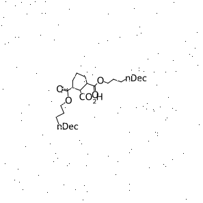 CCCCCCCCCCCCCOC(=O)C1CCCC(C(=O)OCCCCCCCCCCCCC)C1C(=O)O